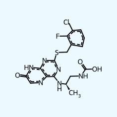 C[C@H](CNC(=O)O)Nc1nc(SCc2cccc(Cl)c2F)nc2[nH]c(=O)cnc12